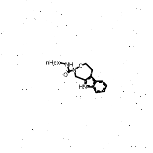 CCCCCCNC(=O)N1CCCc2c([nH]c3ccccc23)C1